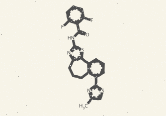 Cc1csc(-c2cccc3c2CCCc2nc(NC(=O)c4c(F)cccc4F)sc2-3)n1